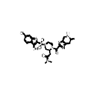 CC1Cc2nc(C(=O)N3CCN(S(=O)(=O)c4sc5cc(Cl)ccc5c4O)CC3CC(=O)N(C)C)sc2CN1